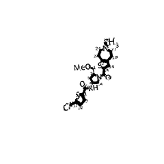 COC[C@@H]1C[C@@H](NC(=O)c2ccc(Cl)s2)CN1C(=O)c1cc2c(s1)CCN(C)CC2